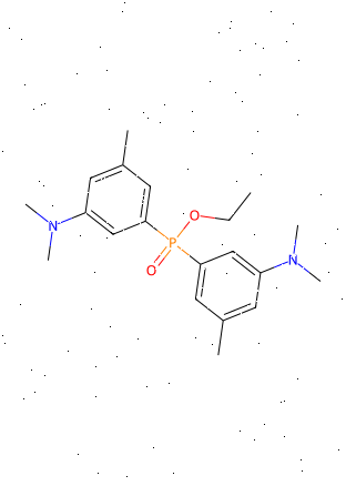 CCOP(=O)(c1cc(C)cc(N(C)C)c1)c1cc(C)cc(N(C)C)c1